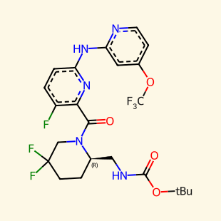 CC(C)(C)OC(=O)NC[C@H]1CCC(F)(F)CN1C(=O)c1nc(Nc2cc(OC(F)(F)F)ccn2)ccc1F